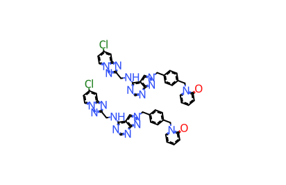 O=c1ccccn1Cc1ccc(Cn2cc3c(NCc4nc5cc(Cl)ccn5n4)ncnc3n2)cc1.O=c1ccccn1Cc1ccc(Cn2cc3c(NCc4nc5cc(Cl)ccn5n4)ncnc3n2)cc1